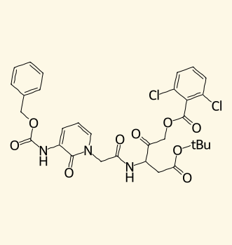 CC(C)(C)OC(=O)CC(NC(=O)Cn1cccc(NC(=O)OCc2ccccc2)c1=O)C(=O)COC(=O)c1c(Cl)cccc1Cl